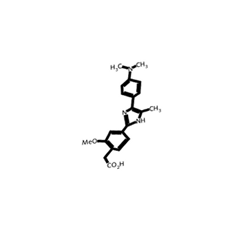 COc1cc(-c2nc(-c3ccc(N(C)C)cc3)c(C)[nH]2)ccc1CC(=O)O